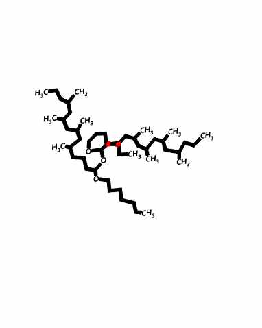 CCCCCCCOC(CCCC(C)CC(C)CC(C)CC(C)CCC)OC(CCCC(C)CC(C)CC(C)CC(C)CCC)OCCCCCCC